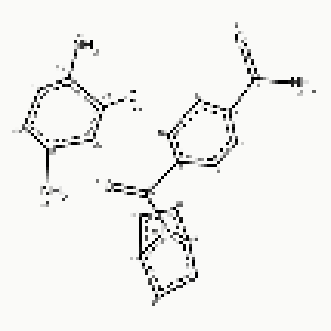 NC(=O)c1ccc(C(=O)n2c3ccc2cc3)cc1.Nc1ccc(N)c(Cl)c1